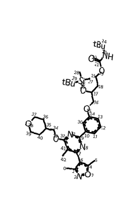 Cc1noc(C)c1-c1nc(-c2cccc(OCC(CCOC(=O)NC(C)(C)C)O[Si](C)(C)C(C)(C)C)c2)nc(OCC2CCOCC2)c1C